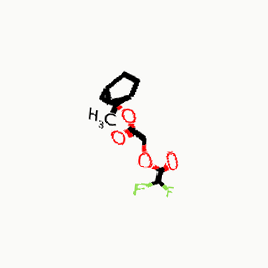 CC1(OC(=O)COC(=O)C(F)F)CC2CCC1C2